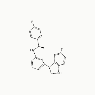 C[C@@H](Nc1cccc(C2CNc3ncc(Cl)cc32)n1)c1ccc(F)cc1